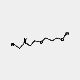 CCOCCCOCCNCC(C)C